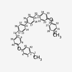 CCc1ccc(Oc2ccc(Cc3ccc(-c4ccc(Cc5ccc(Oc6ccc(C)cc6)cc5)cc4)cc3)cc2)cc1